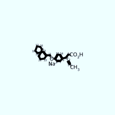 CC#C[C@@H](CC(=O)O)c1ccc(OCC2=CC3(CCCCC3)CCC2)cc1.[Na]